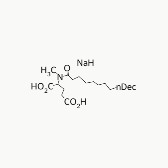 CCCCCCCCCCCCCCCCCC(=O)N(C)C(CCC(=O)O)C(=O)O.[NaH]